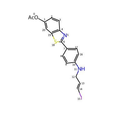 CC(=O)Oc1ccc2nc(-c3ccc(NCC=CI)cc3)sc2c1